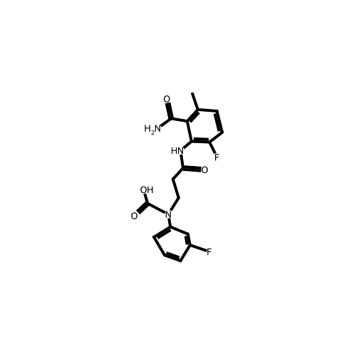 Cc1ccc(F)c(NC(=O)CCN(C(=O)O)c2cccc(F)c2)c1C(N)=O